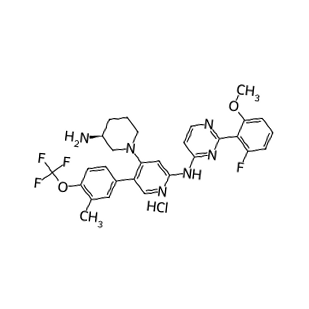 COc1cccc(F)c1-c1nccc(Nc2cc(N3CCC[C@H](N)C3)c(-c3ccc(OC(F)(F)F)c(C)c3)cn2)n1.Cl